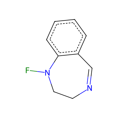 FN1CCN=Cc2ccccc21